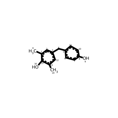 Cc1cc(Cc2ccc(O)cc2)cc(C)c1O